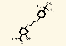 CC(C)(C)c1ccc(OCCOc2ccc(C(=O)O)c(O)c2)cc1